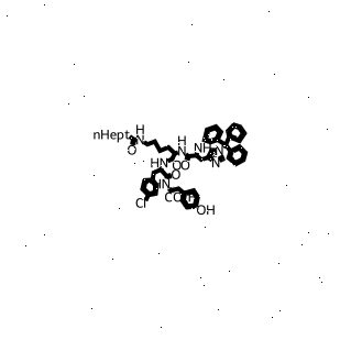 CCCCCCCC(=O)NCCCCC(NC(=O)C(N)Cc1cn(C(c2ccccc2)(c2ccccc2)c2ccccc2)cn1)C(=O)NC(Cc1ccc(Cl)cc1)C(=O)N[C@H](Cc1ccc(O)cc1)C(=O)O